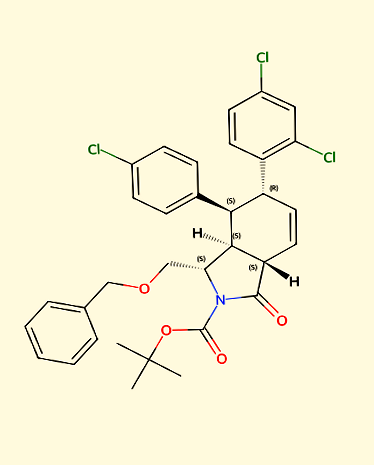 CC(C)(C)OC(=O)N1C(=O)[C@H]2C=C[C@@H](c3ccc(Cl)cc3Cl)[C@H](c3ccc(Cl)cc3)[C@@H]2[C@H]1COCc1ccccc1